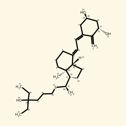 C=C1C(=CC=C2CCC[C@]3(C)[C@@H]([C@@H](C)SCCCC(O)(CC)CC)CC[C@@H]23)C[C@@H](O)C[C@@H]1O